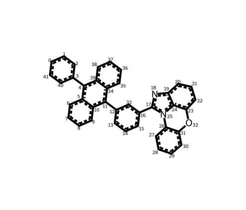 c1ccc(-c2c3ccccc3c(-c3cccc(-c4nc5cccc6c5n4-c4ccccc4O6)c3)c3ccccc23)cc1